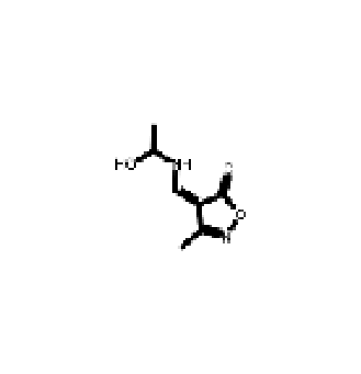 CC1=NOC(=O)/C1=C\NC(C)O